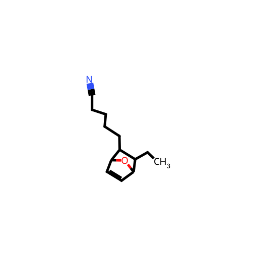 CCC1C2C=CC(O2)C1CCCCC#N